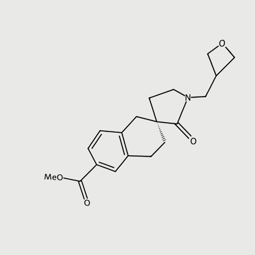 COC(=O)c1ccc2c(c1)CC[C@@]1(CCN(CC3COC3)C1=O)C2